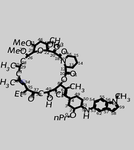 CCCOC1CC(C=C(C)C2OC(=O)C3CCCCN3C(=O)C(=O)C3(O)OC(C(OC)CC(C)C/C(C)=C/C(CC)C(=O)CC(O)C2C)C(OC)CC3C)CCC1Nc1ccc2c(ccn2C)c1